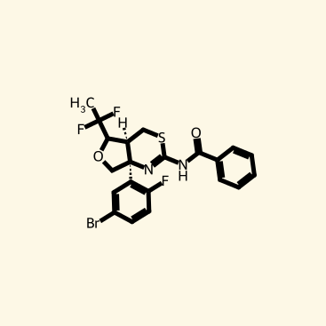 CC(F)(F)C1OC[C@]2(c3cc(Br)ccc3F)N=C(NC(=O)c3ccccc3)SC[C@H]12